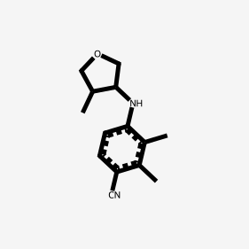 Cc1c(C#N)ccc(NC2COCC2C)c1C